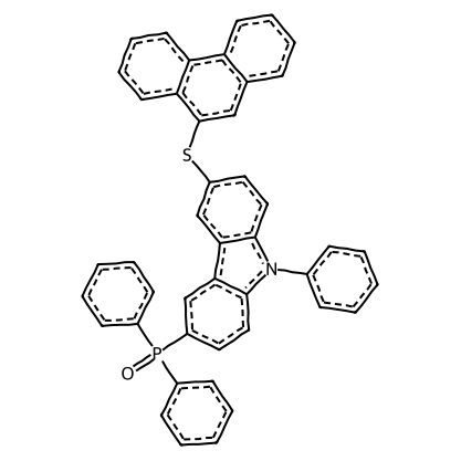 O=P(c1ccccc1)(c1ccccc1)c1ccc2c(c1)c1cc(Sc3cc4ccccc4c4ccccc34)ccc1n2-c1ccccc1